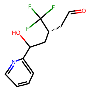 O=CC[C@H](CC(O)c1ccccn1)C(F)(F)F